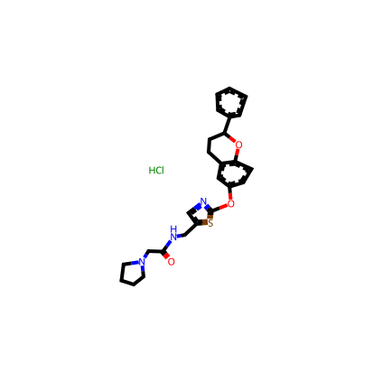 Cl.O=C(CN1CCCC1)NCc1cnc(Oc2ccc3c(c2)CCC(c2ccccc2)O3)s1